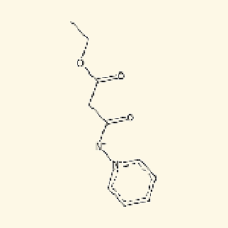 CCOC(=O)CC(=O)[N-][n+]1ccccc1